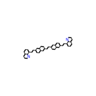 C(=C\c1ccc2cc(/C=C/c3cccc4cccnc34)ccc2c1)/c1ccc2cc(/C=C/c3cccc4cccnc34)ccc2c1